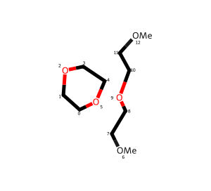 C1COCCO1.COCCOCCOC